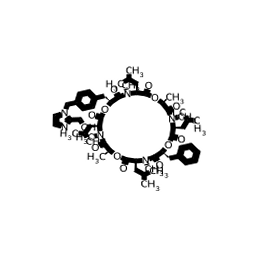 CC(C)C[C@H]1C(=O)O[C@H](Cc2ccc(Cn3ccnc3CO)cc2)C(=O)N(C)[C@@H](CC(C)C)C(=O)O[C@H](C)C(=O)N(C)[C@@H](CC(C)C)C(=O)O[C@H](Cc2ccccc2)C(=O)N(C)[C@@H](CC(C)C)C(=O)O[C@H](C)C(=O)N1C